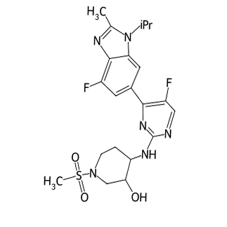 Cc1nc2c(F)cc(-c3nc(NC4CCN(S(C)(=O)=O)CC4O)ncc3F)cc2n1C(C)C